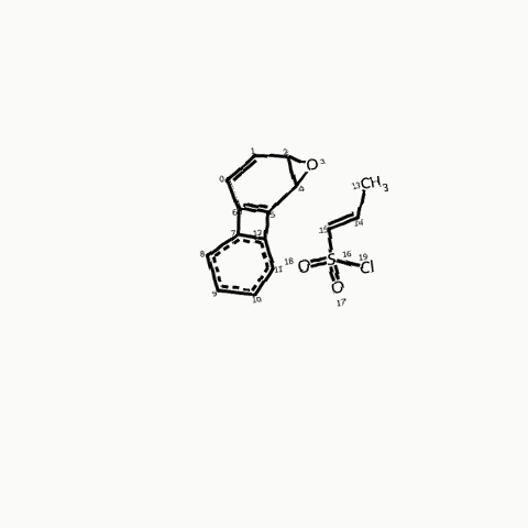 C1=CC2OC2C2=C1c1ccccc12.CC=CS(=O)(=O)Cl